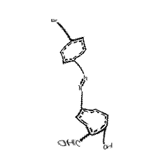 O=Cc1cc(/N=N/c2ccc(Br)cc2)ccc1O